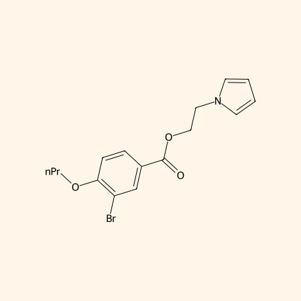 CCCOc1ccc(C(=O)OCCn2cccc2)cc1Br